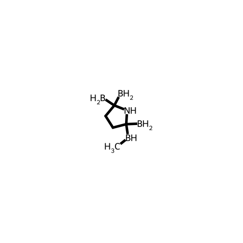 BC1(B)CCC(B)(BC)N1